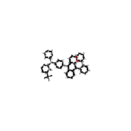 CC(C)(C)c1cccc(N(c2ccccc2)c2ccc(-c3c4ccccc4c(-c4ccccc4-c4ccccc4)c4ccccc34)cc2)n1